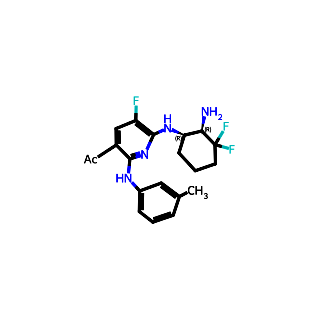 CC(=O)c1cc(F)c(N[C@@H]2CCCC(F)(F)[C@@H]2N)nc1Nc1cccc(C)c1